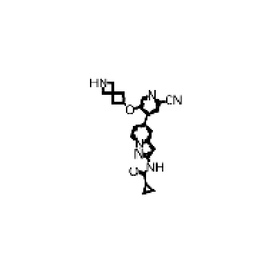 N#Cc1cc(-c2ccn3nc(NC(=O)C4CC4)cc3c2)c(OC2CC3(CNC3)C2)cn1